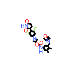 Cc1cc(NC(=O)OC2CN(c3cc(F)c(C4CCC(=O)NC4=O)c(F)c3)C2)cc(CN2CC3CC2CO3)c1C